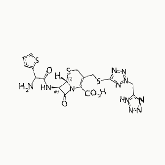 NC(C(=O)N[C@@H]1C(=O)N2C(C(=O)O)=C(CSc3nnn(Cc4nnn[nH]4)n3)CS[C@@H]12)c1cccs1